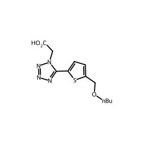 CCCCOCc1ccc(-c2nnnn2CC(=O)O)s1